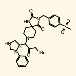 CC(C)(C)CC(=O)C([C@@H]1CNC[C@@H]1c1ccccc1)N1CCC2(CC1)NC(=O)N(Cc1ccc(S(C)(=O)=O)cc1)C2=O